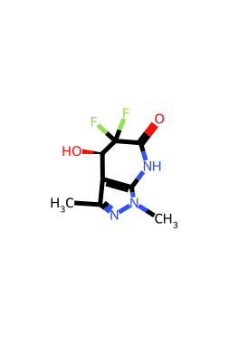 Cc1nn(C)c2c1[C@@H](O)C(F)(F)C(=O)N2